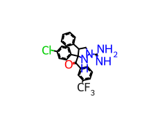 N=C(N)N1CC(c2ccccc2)C(C(=O)c2cccc(C(F)(F)F)c2)(c2ccc(Cl)cc2)N1